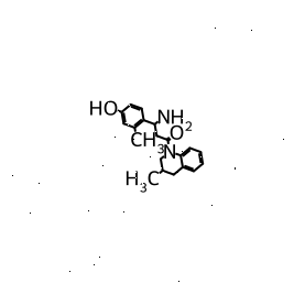 Cc1cc(O)ccc1C(N)CC(=O)N1CC(C)Cc2ccccc21